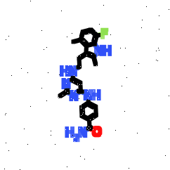 Cc1nc(NCCc2c(C)[nH]c3c(F)ccc(C)c23)cc(Nc2ccc(C(N)=O)cc2)n1